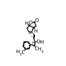 Cc1cccc([C@@H](C)[C@H](O)/C=C/[C@H]2CC[C@@H]3OC(=O)C[C@@H]32)c1